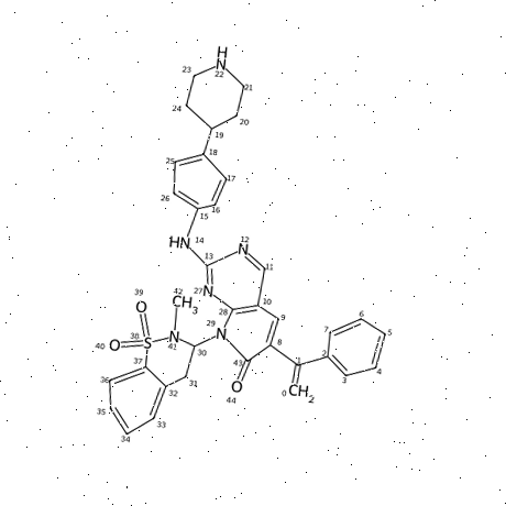 C=C(c1ccccc1)c1cc2cnc(Nc3ccc(C4CCNCC4)cc3)nc2n(C2Cc3ccccc3S(=O)(=O)N2C)c1=O